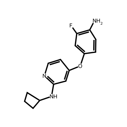 Nc1ccc(Oc2ccnc(NC3CCC3)c2)cc1F